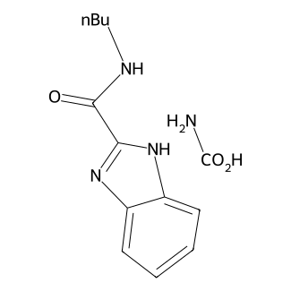 CCCCNC(=O)c1nc2ccccc2[nH]1.NC(=O)O